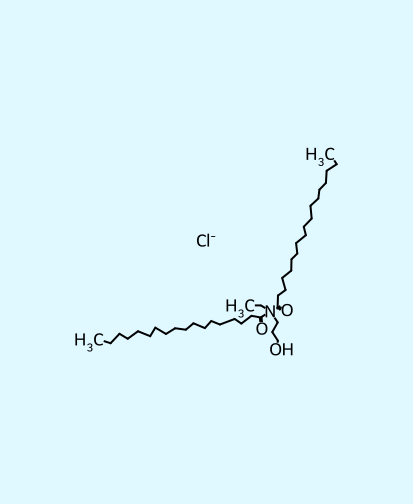 CCCCCCCCCCCCCCCCCC(=O)[N+](CC)(CCCO)C(=O)CCCCCCCCCCCCCCCCC.[Cl-]